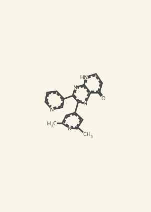 Cc1cc(-c2nc3c(=O)cc[nH]c3nc2-c2cccnc2)cc(C)n1